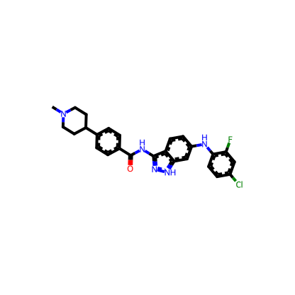 CN1CCC(c2ccc(C(=O)Nc3n[nH]c4cc(Nc5ccc(Cl)cc5F)ccc34)cc2)CC1